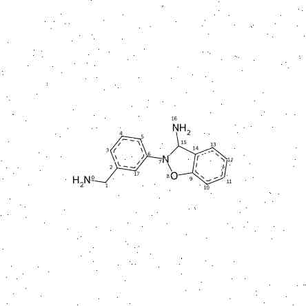 NCc1cccc(N2Oc3ccccc3C2N)c1